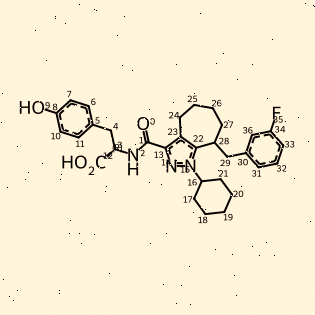 O=C(N[C@H](Cc1ccc(O)cc1)C(=O)O)c1nn(C2CCCCC2)c2c1CCCCC2Cc1cccc(F)c1